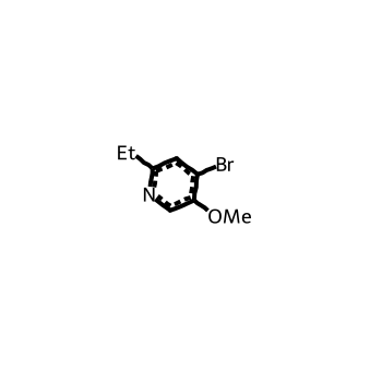 CCc1cc(Br)c(OC)cn1